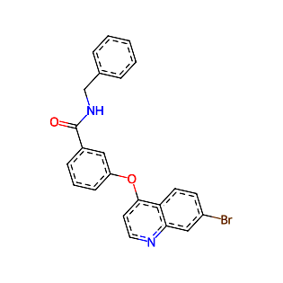 O=C(NCc1ccccc1)c1cccc(Oc2ccnc3cc(Br)ccc23)c1